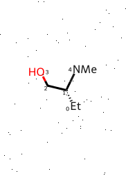 CC[C@H](CO)NC